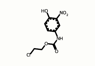 O=C(Nc1ccc(O)c([N+](=O)[O-])c1)OCCCl